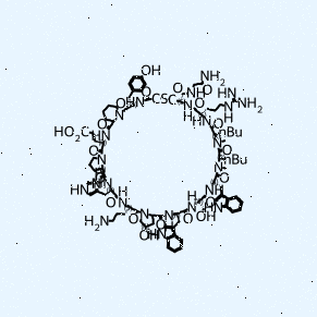 CCCC[C@@H]1C(=O)N(C)[C@H](CCCC)C(=O)N[C@@H](CCCNC(=N)N)C(=O)N[C@@H](C(=O)NCC(N)=O)CSCC(=O)N[C@@H](Cc2ccc(O)cc2)C(=O)N2CCCCC2C(=O)N[C@H](CCC(=O)O)C(=O)N2CCC[C@H]2C(=O)N[C@H](Cc2c[nH]cn2)C(=O)N[C@@H](CCCN)C(=O)N2C[C@H](O)CC2C(=O)N[C@H](Cc2c[nH]c3ccccc23)C(=O)N[C@@H](CO)C(=O)N[C@@H](Cc2c[nH]c3ccccc23)C(=O)N1C